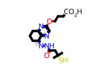 CC(C)(S)CC(=O)N/N=C1/CCCc2nc(OCCCC(=O)O)cnc21